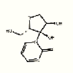 O=c1ncccn1[C@@]1(O)[C@H](O)CO[C@H]1CO